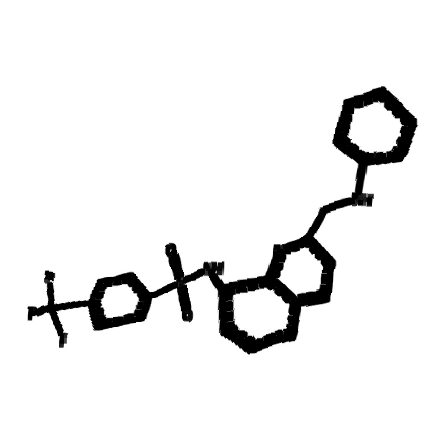 O=S(=O)(Nc1cccc2ccc(CNc3ccccc3)nc12)c1ccc(C(F)(F)F)cc1